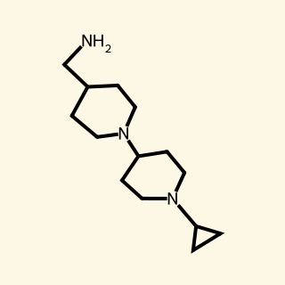 NCC1CCN(C2CCN(C3CC3)CC2)CC1